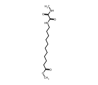 CNC(=O)C(=O)NCCCCCCCCCCC(=O)OC